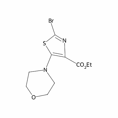 CCOC(=O)c1nc(Br)sc1N1CCOCC1